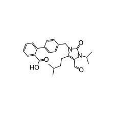 CC(C)CCc1c(C=O)n(C(C)C)c(=O)n1Cc1ccc(-c2ccccc2C(=O)O)cc1